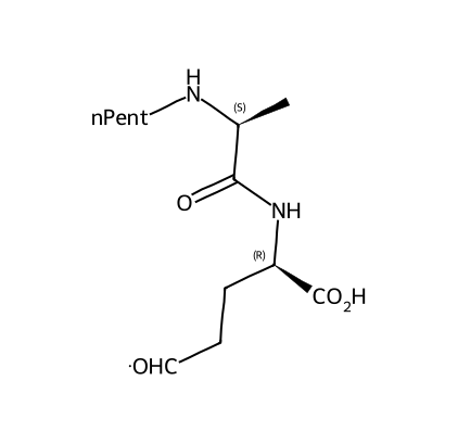 CCCCCN[C@@H](C)C(=O)N[C@H](CC[C]=O)C(=O)O